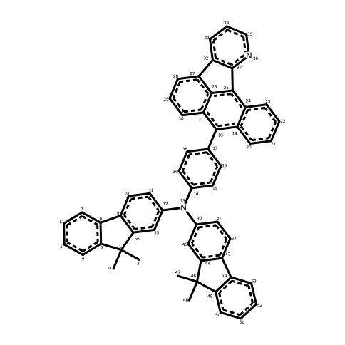 CC1(C)c2ccccc2-c2ccc(N(c3ccc(-c4c5ccccc5c5c6c(cccc46)-c4cccnc4-5)cc3)c3ccc4c(c3)C(C)(C)c3ccccc3-4)cc21